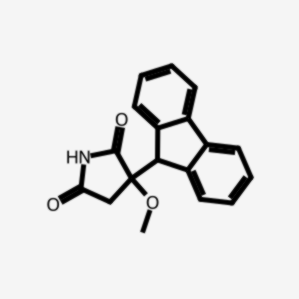 COC1(C2c3ccccc3-c3ccccc32)CC(=O)NC1=O